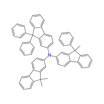 CC1(C)c2ccccc2-c2ccc(N(c3ccc4c(c3)C(C)(c3ccccc3)c3ccccc3-4)c3ccc4c(c3)C(c3ccccc3)(c3ccccc3)c3ccccc3-4)cc21